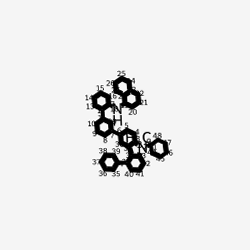 CC1(n2c3ccc(-c4cccc(-c5ccccc5Nc5cccc6ccccc56)c4)cc3c3c(-c4ccccc4)cccc32)C=CC=CC1